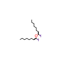 CCCCCC/C=C(/I)O/C(I)=C\CCCCCC